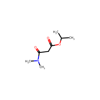 CC(C)OC(=O)CC(=O)N(C)C